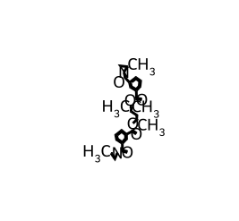 CC(CCC(C)(C)OC(=O)c1cccc(C(=O)N2CC2C)c1)OC(=O)c1cccc(C(=O)N2CC2C)c1